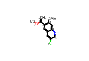 C=C(OCC)c1cc2cc(Cl)cnc2cc1OC